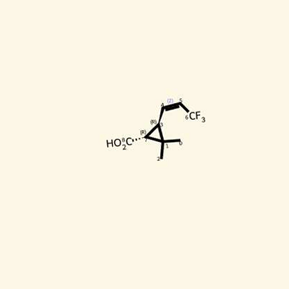 CC1(C)[C@H](/C=C\C(F)(F)F)[C@H]1C(=O)O